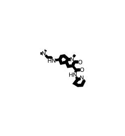 CN(C)CCNc1ccc2c(c1)cc(C(=O)Nc1ccccn1)c(=O)n2C